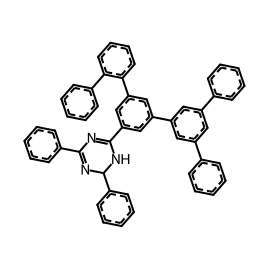 c1ccc(C2=NC(c3ccccc3)NC(c3cc(-c4cc(-c5ccccc5)cc(-c5ccccc5)c4)cc(-c4ccccc4-c4ccccc4)c3)=N2)cc1